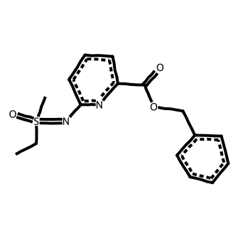 CCS(C)(=O)=Nc1cccc(C(=O)OCc2ccccc2)n1